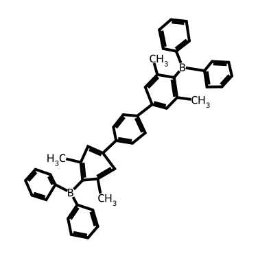 Cc1cc(-c2ccc(-c3cc(C)c(B(c4ccccc4)c4ccccc4)c(C)c3)cc2)cc(C)c1B(c1ccccc1)c1ccccc1